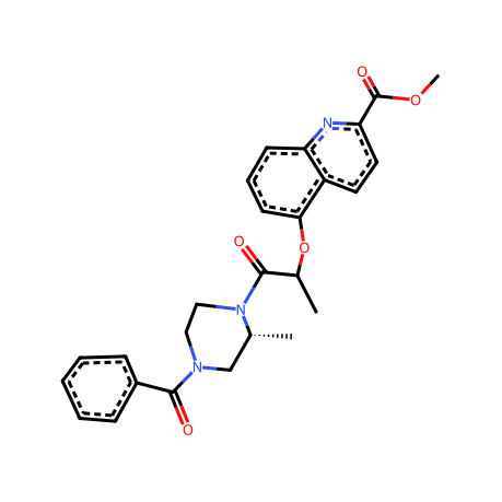 COC(=O)c1ccc2c(OC(C)C(=O)N3CCN(C(=O)c4ccccc4)C[C@H]3C)cccc2n1